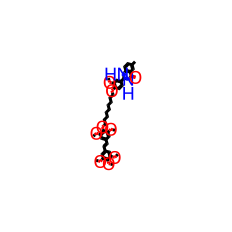 COc1cc(C2NC(=O)c3cc(C)ccc3N2)ccc1OCCCCCCCCCOc1c(OC)cc(C=Cc2cc(OC)c(OC)c(OC)c2)cc1OC